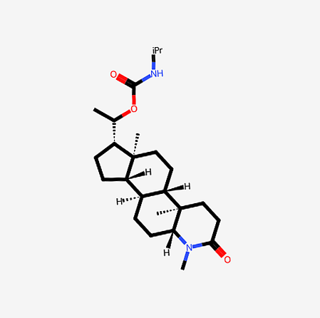 CC(C)NC(=O)OC(C)[C@H]1CC[C@H]2[C@@H]3CC[C@H]4N(C)C(=O)CC[C@]4(C)[C@H]3CC[C@]12C